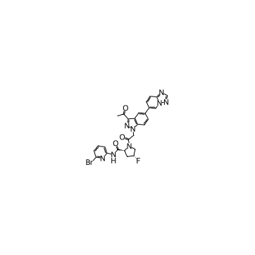 CC(=O)c1nn(CC(=O)N2C[C@H](F)C[C@H]2C(=O)Nc2cccc(Br)n2)c2ccc(-c3ccc4ncnn4c3)cc12